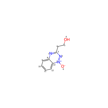 [O-][n+]1nc(CCO)nc2ccccc21